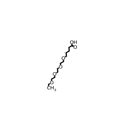 CCOCCOCCOCCOC[CH]CCC(=O)O